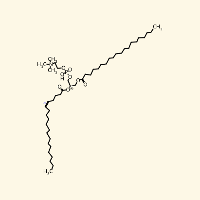 CCCCCCCCCCCCCC/C=C\CCCC(=O)O[C@H](COC(=O)CCCCCCCCCCCCCCCCCCC)COP(=O)(O)OCC[N+](C)(C)C